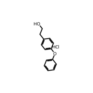 Cl.OCCc1ccc(Oc2ccccc2)cc1